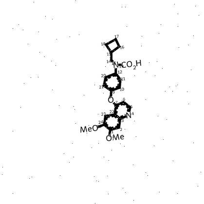 COc1cc2nccc(Oc3ccc(N(CC4CCC4)C(=O)O)cc3)c2cc1OC